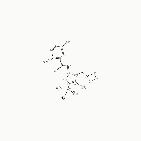 COc1ccc(Cl)cc1C(=O)/N=c1\sc(C(C)(C)O)c(C)n1CC1CCC1